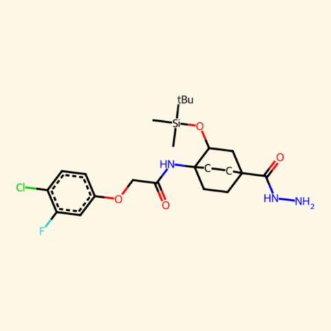 CC(C)(C)[Si](C)(C)OC1CC2(C(=O)NN)CCC1(NC(=O)COc1ccc(Cl)c(F)c1)CC2